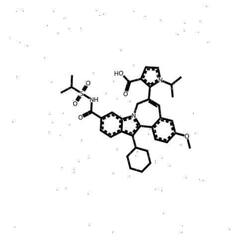 COc1ccc2c(c1)C=C(c1c(C(=O)O)ccn1C(C)C)Cn1c-2c(C2CCCCC2)c2ccc(C(=O)NS(=O)(=O)C(C)C)cc21